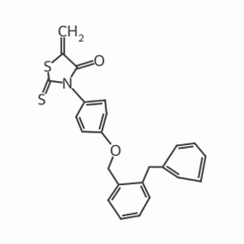 C=C1SC(=S)N(c2ccc(OCc3ccccc3Cc3ccccc3)cc2)C1=O